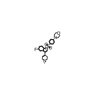 CN1CC=C(c2cn(S(=O)(=O)c3ccc(N4CCOCC4)cc3)c3ccc(F)cc23)CC1